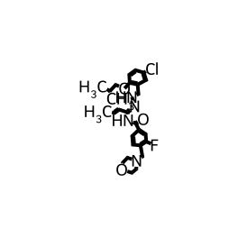 C/C=C/C(=N\NCc1cc(Cl)ccc1OCC(C)C)NC(=O)c1ccc(CN2CCOCC2)c(F)c1